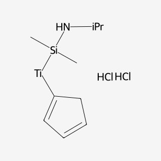 CC(C)N[Si](C)(C)[Ti][C]1=CC=CC1.Cl.Cl